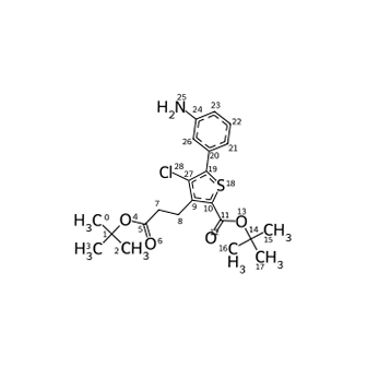 CC(C)(C)OC(=O)CCc1c(C(=O)OC(C)(C)C)sc(-c2cccc(N)c2)c1Cl